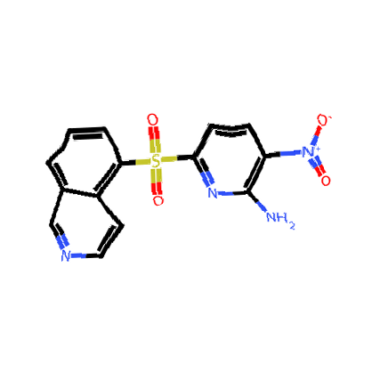 Nc1nc(S(=O)(=O)c2cccc3cnccc23)ccc1[N+](=O)[O-]